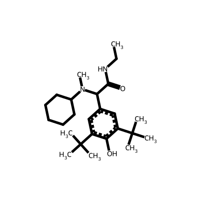 CCNC(=O)C(c1cc(C(C)(C)C)c(O)c(C(C)(C)C)c1)N(C)C1CCCCC1